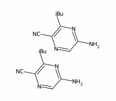 CCC(C)c1nc(N)cnc1C#N.CCC(C)c1nc(N)cnc1C#N